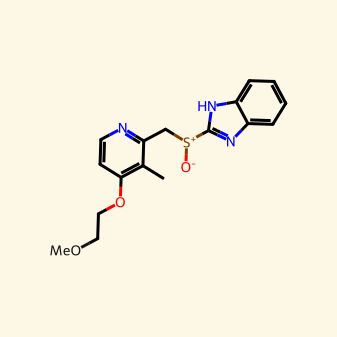 COCCOc1ccnc(C[S+]([O-])c2nc3ccccc3[nH]2)c1C